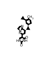 Cc1ccc([C@H]2C[C@@H]2c2cc(-c3c[nH]c(=O)[nH]c3=O)nn3ccnc23)cc1C1CC1